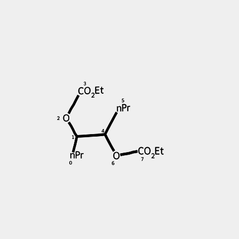 CCCC(OC(=O)OCC)C(CCC)OC(=O)OCC